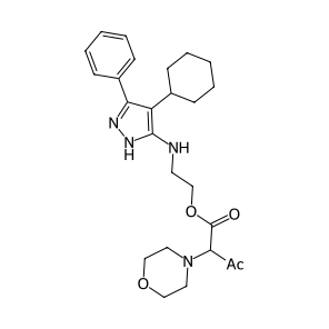 CC(=O)C(C(=O)OCCNc1[nH]nc(-c2ccccc2)c1C1CCCCC1)N1CCOCC1